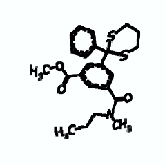 CCCN(C)C(=O)c1cc(C(=O)OC)cc(C2(c3ccccc3)SCCCS2)c1